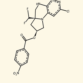 O=C(O[C@@H]1CN2c3cc(Cl)nnc3NC[C@@]2(C(F)F)C1)c1ccc([N+](=O)[O-])cc1